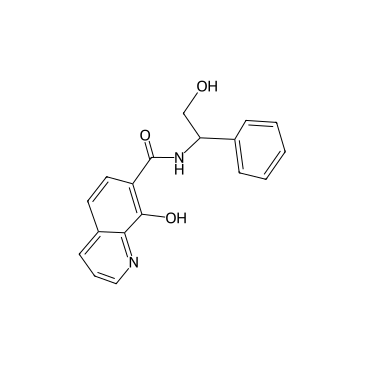 O=C(NC(CO)c1ccccc1)c1ccc2cccnc2c1O